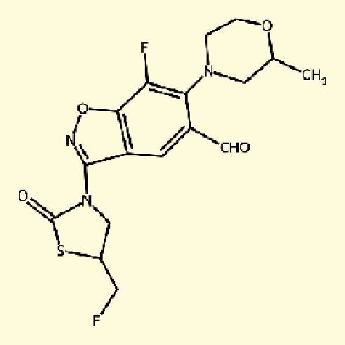 CC1CN(c2c(C=O)cc3c(N4CC(CF)SC4=O)noc3c2F)CCO1